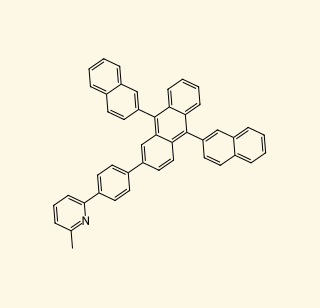 Cc1cccc(-c2ccc(-c3ccc4c(-c5ccc6ccccc6c5)c5ccccc5c(-c5ccc6ccccc6c5)c4c3)cc2)n1